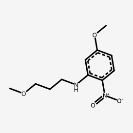 COCCCNc1cc(OC)ccc1[N+](=O)[O-]